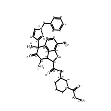 CC(C)(C)OC(=O)N1CCC[C@@H](NC(=O)C2Sc3c(N)ccc4c3C2C(N)C(=O)C4(N)c2ccn(Cc3ccccc3)n2)C1